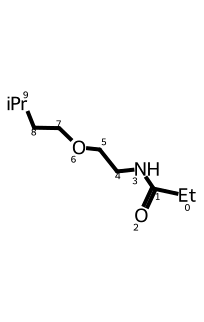 CCC(=O)NCCOCCC(C)C